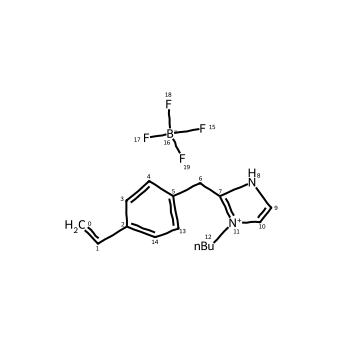 C=Cc1ccc(Cc2[nH]cc[n+]2CCCC)cc1.F[B-](F)(F)F